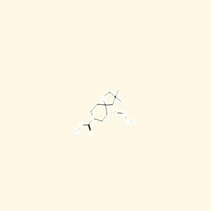 CC(C)(C)OC(=O)N1CCC2(CC1)OCC(C)(C)[C@@H]2NSC(C)(C)C